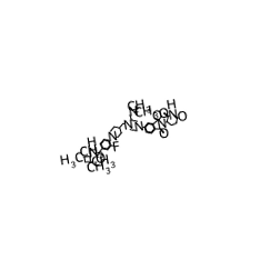 CN(C)CC1CN(c2ccc3c(c2)C(=O)N(C2CCC(=O)NC2=O)C3=O)CCN1CC1CCN(c2ccc(C(=O)NC3C(C)(C)CC3(C)C)cc2F)CC1